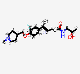 CC/C(=C\CCC(=O)NCC(C)O)c1ccc(OCC2CCN(C)CC2)c(F)c1